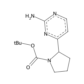 CC(C)(C)OC(=O)N1CCCC1c1ccnc(N)n1